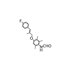 C/C(=C\c1ccc(F)cc1)COc1cc(C)c(NC=O)c(C)c1C